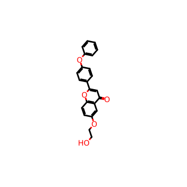 O=c1cc(-c2ccc(Oc3ccccc3)cc2)oc2ccc(OCCO)cc12